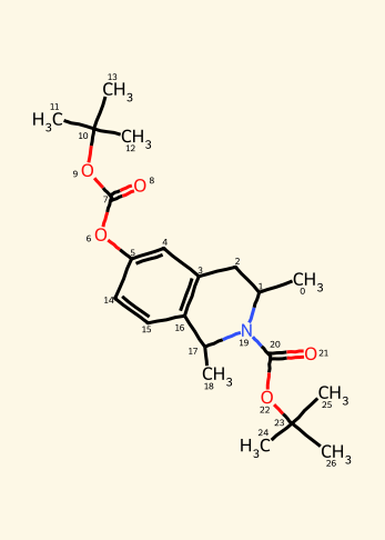 CC1Cc2cc(OC(=O)OC(C)(C)C)ccc2C(C)N1C(=O)OC(C)(C)C